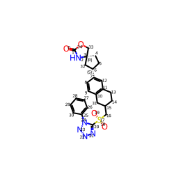 O=C1N[C@@]2(CC[C@H](c3ccc4c(c3)CCC(CS(=O)(=O)c3nnnn3-c3ccccc3)C4)C2)CO1